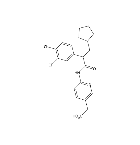 O=C(O)Cc1ccc(NC(=O)C(CC2CCCC2)c2ccc(Cl)c(Cl)c2)nc1